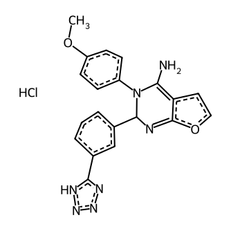 COc1ccc(N2C(N)=c3ccoc3=NC2c2cccc(-c3nnn[nH]3)c2)cc1.Cl